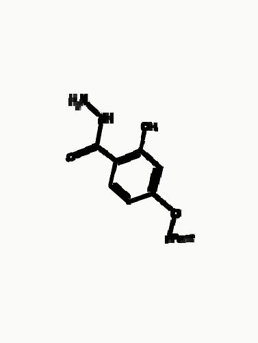 CCCCCOc1ccc(C(=O)NN)c(O)c1